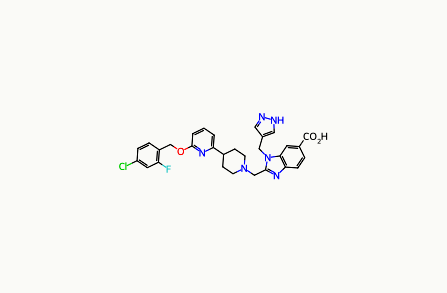 O=C(O)c1ccc2nc(CN3CCC(c4cccc(OCc5ccc(Cl)cc5F)n4)CC3)n(Cc3cn[nH]c3)c2c1